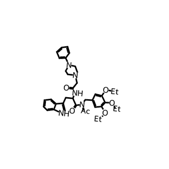 CCOc1cc(CN(C(C)=O)C(=O)C(Cc2c[nH]c3ccccc23)NC(=O)CN2CCN(c3ccccc3)CC2)cc(OCC)c1OCC